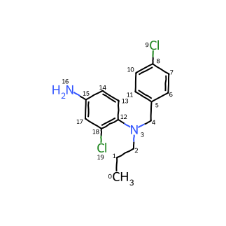 CCCN(Cc1ccc(Cl)cc1)c1ccc(N)cc1Cl